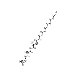 CCCCCCCCCCCCCCCOC(=O)CCCNCCCNC